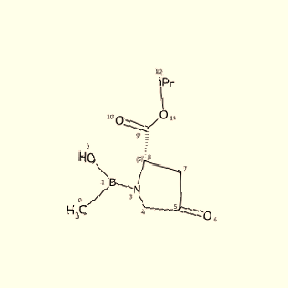 CB(O)N1CC(=O)C[C@H]1C(=O)OC(C)C